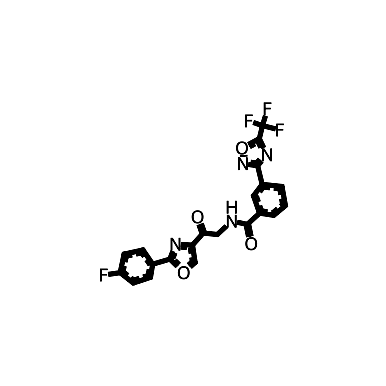 O=C(NCC(=O)c1coc(-c2ccc(F)cc2)n1)c1cccc(-c2noc(C(F)(F)F)n2)c1